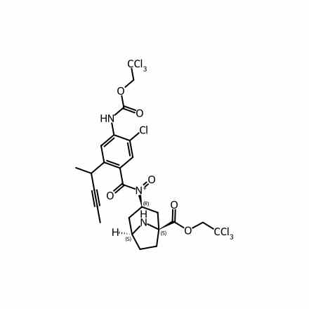 CC#CC(C)c1cc(NC(=O)OCC(Cl)(Cl)Cl)c(Cl)cc1C(=O)[N+](=O)[C@@H]1C[C@@H]2CC[C@@](C(=O)OCC(Cl)(Cl)Cl)(C1)N2